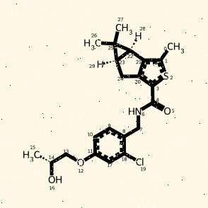 Cc1sc(C(=O)NCc2ccc(OC[C@@H](C)O)cc2Cl)c2c1[C@H]1[C@@H](C2)C1(C)C